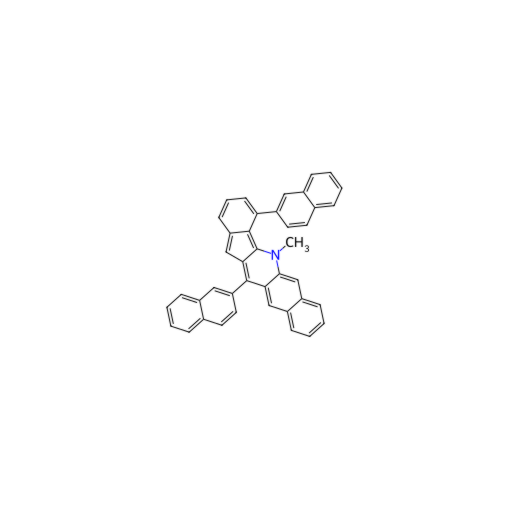 Cn1c2c3c(-c4ccc5ccccc5c4)cccc3cc-2c(-c2ccc3ccccc3c2)c2cc3ccccc3cc21